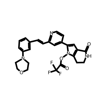 O=C1NCCc2c1cc(-c1ccnc(C=Cc3cccc(N4CCOCC4)c3)c1)n2OC(=O)C(F)(F)F